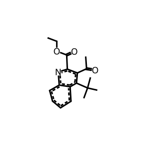 CCOC(=O)c1nc2ccccc2c(C(C)(C)C)c1C(C)=O